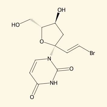 O=c1ccn([C@@]2(/C=C/Br)C[C@H](O)[C@@H](CO)O2)c(=O)[nH]1